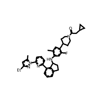 CCc1cc(C)n(-c2cccc(-c3cccc4c3C(Nc3cc(F)c(C5CCN(C(=O)CC6CC6)CC5)cc3C)CC4)n2)n1